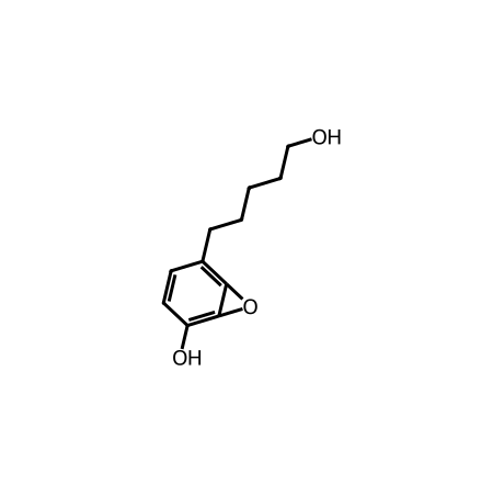 OCCCCCc1ccc(O)c2c1O2